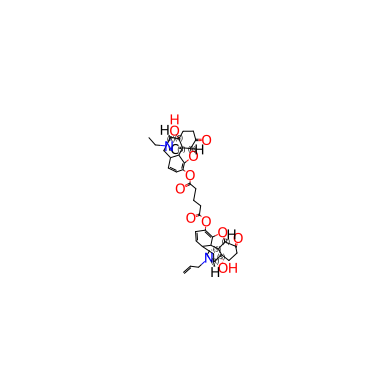 C=CCN1CC[C@@]23C4C5=C(OC(=O)CCCC(=O)OC6=C7O[C@H]8C(=O)CC[C@@]9(O)[C@H]%10CC(C=C6)C7[C@@]89CCN%10CC)C=CC4C[C@@H]1[C@]2(O)CCC(=O)[C@@H]3O5